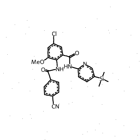 COc1cc(Cl)cc(C(=O)Nc2ccc([Si](C)(C)C)cn2)c1NC(=O)c1ccc(C#N)cc1